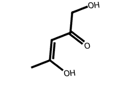 C/C(O)=C/C(=O)CO